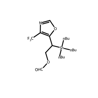 CCC[CH2][Sn]([CH2]CCC)([CH2]CCC)[CH](COC=O)c1ocnc1C(F)(F)F